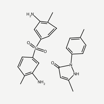 Cc1ccc(-n2[nH]c(C)cc2=O)cc1.Cc1ccc(S(=O)(=O)c2ccc(C)c(N)c2)cc1N